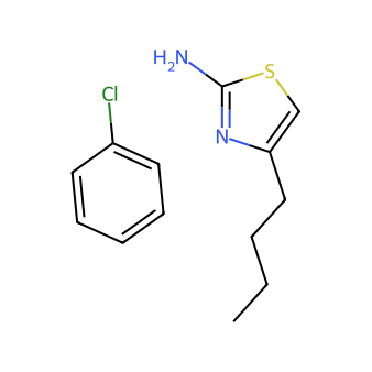 CCCCc1csc(N)n1.Clc1ccccc1